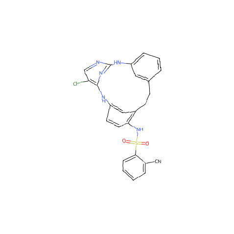 N#Cc1ccccc1S(=O)(=O)Nc1ccc2cc1CCc1cccc(c1)Nc1ncc(Cl)c(n1)N2